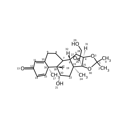 CC1(C)O[C@@H]2C[C@H]3C4CCC5=CC(=O)C=C[C@]5(C)[C@@]4(F)[C@@H](O)C[C@]3(C)[C@]2(C(=O)CO)O1